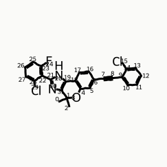 CC1(C)Oc2cc(C#Cc3ccccc3Cl)ccc2-c2[nH]c(-c3c(F)cccc3Cl)nc21